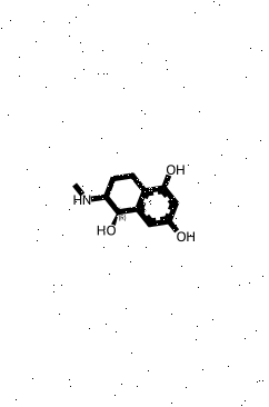 CNC1CCc2c(O)cc(O)cc2[C@H]1O